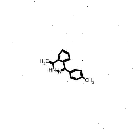 C=C1NN=C(c2ccc(C)cc2)c2ccccc21